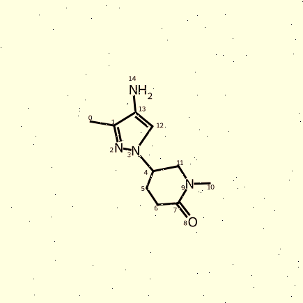 Cc1nn(C2CCC(=O)N(C)C2)cc1N